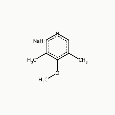 COc1c(C)[c]ncc1C.[NaH]